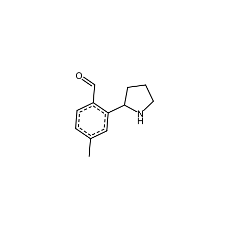 Cc1ccc(C=O)c(C2CCCN2)c1